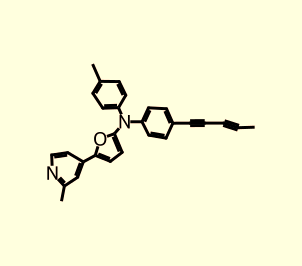 CC#CC#Cc1ccc(N(c2ccc(C)cc2)c2ccc(-c3ccnc(C)c3)o2)cc1